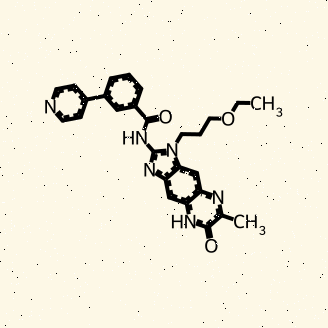 CCOCCCn1c(NC(=O)c2cccc(-c3ccncc3)c2)nc2cc3[nH]c(=O)c(C)nc3cc21